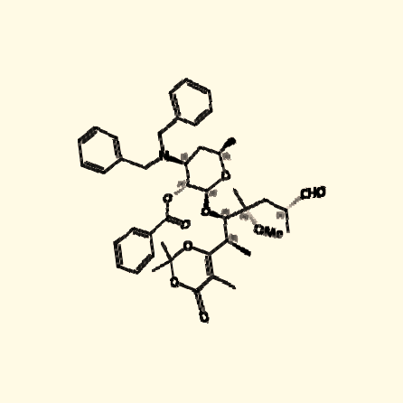 CO[C@](C)(C[C@@H](C)C=O)[C@H](O[C@@H]1O[C@H](C)C[C@H](N(Cc2ccccc2)Cc2ccccc2)[C@H]1OC(=O)c1ccccc1)[C@@H](C)C1=C(C)C(=O)OC(C)(C)O1